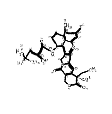 CC[C@@]1(O)C(=O)OCc2c1cc1n(c2=O)Cc2c-1nc1cc(F)c(C)c3c1c2[C@@H](NC(=O)C(O)CC(C)(C)C)CC3